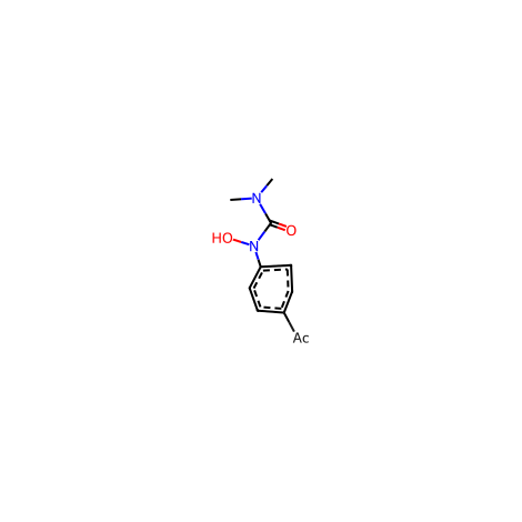 CC(=O)c1ccc(N(O)C(=O)N(C)C)cc1